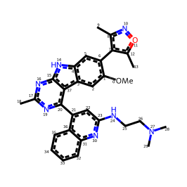 COc1cc2c(cc1-c1c(C)noc1C)[nH]c1nc(C)nc(-c3cc(NCCN(C)C)nc4ccccc34)c12